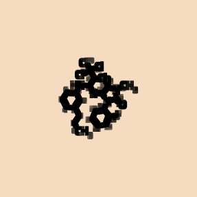 CCCc1cccc(NC(N=C2C(=O)N(C)C(=O)N2c2ccccc2F)C(Cl)C(Cl)(Cl)Cl)c1